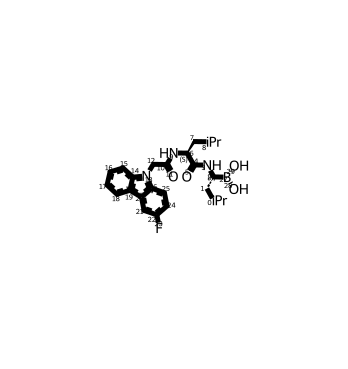 CC(C)C[C@H](NC(=O)[C@H](CC(C)C)NC(=O)Cn1c2ccccc2c2cc(F)ccc21)B(O)O